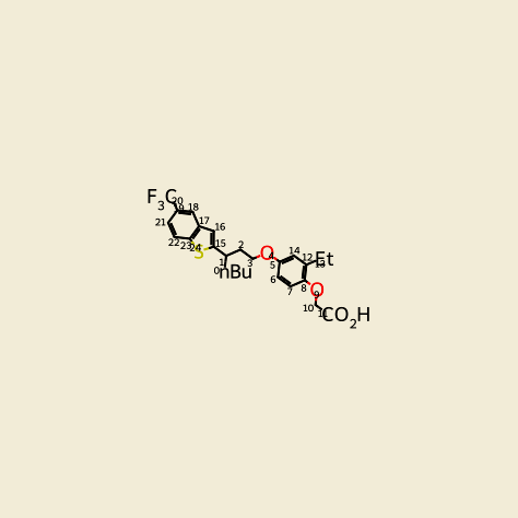 CCCCC(CCOc1ccc(OCC(=O)O)c(CC)c1)c1cc2cc(C(F)(F)F)ccc2s1